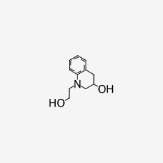 OCCN1CC(O)Cc2ccccc21